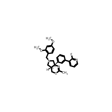 COc1ccc(CN2C[C@H]3CSC(C)=N[C@@]3(c3cccc(-c4cccnc4F)c3)C2)c(OC)c1